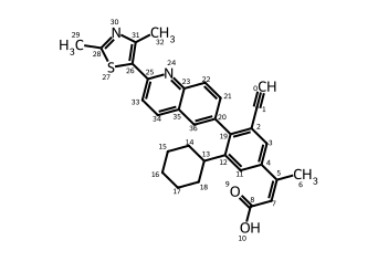 C#Cc1cc(/C(C)=C\C(=O)O)cc(C2CCCCC2)c1-c1ccc2nc(-c3sc(C)nc3C)ccc2c1